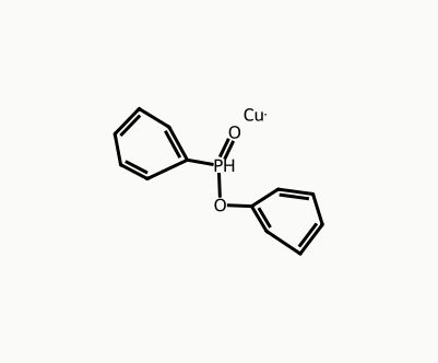 O=[PH](Oc1ccccc1)c1ccccc1.[Cu]